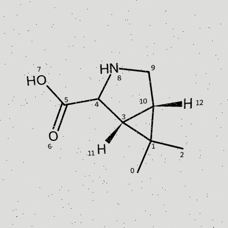 CC1(C)[C@@H]2C(C(=O)O)NC[C@@H]21